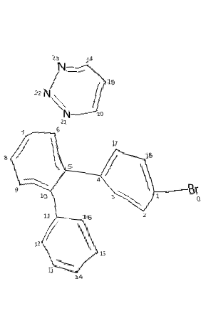 Brc1ccc(-c2ccccc2-c2ccccc2)cc1.c1cnnnc1